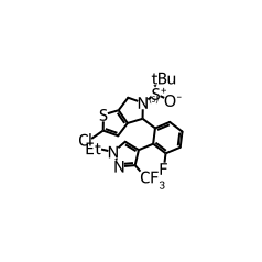 CCn1cc(-c2c(F)cccc2C2c3cc(Cl)sc3CN2[S@+]([O-])C(C)(C)C)c(C(F)(F)F)n1